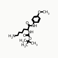 COc1ccc(NC(=O)C(CCCCN)NC(=O)OC(C)(C)C)cc1